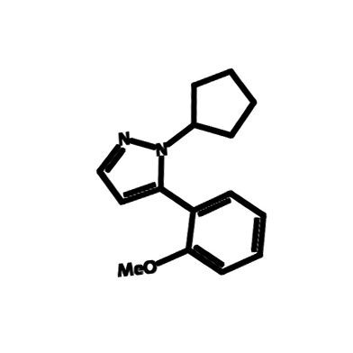 COc1ccccc1-c1ccnn1C1CCCC1